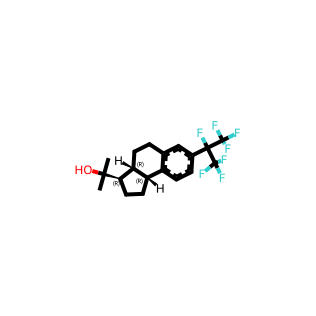 CC(C)(O)[C@@H]1CC[C@H]2c3ccc(C(F)(C(F)(F)F)C(F)(F)F)cc3CC[C@@H]12